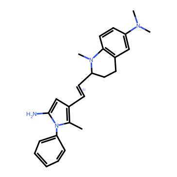 Cc1c(/C=C/C2CCc3cc(N(C)C)ccc3N2C)cc(N)n1-c1ccccc1